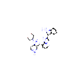 CC(=O)N1CCc2c(c(-c3cccn4cc(-c5c[nH]c6ccccc56)nc34)nn2C2CCOCC2)C1